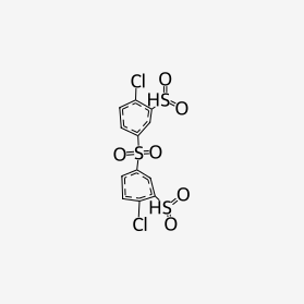 O=[SH](=O)c1cc(S(=O)(=O)c2ccc(Cl)c([SH](=O)=O)c2)ccc1Cl